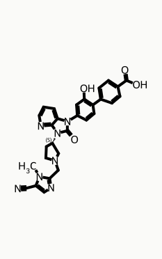 Cn1c(C#N)cnc1CN1CC[C@H](n2c(=O)n(-c3ccc(-c4ccc(C(=O)O)cc4)c(O)c3)c3cccnc32)C1